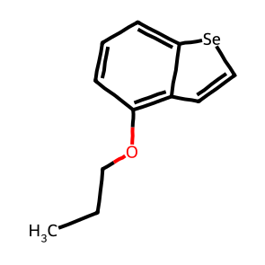 CCCOc1cccc2[se]ccc12